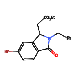 CCOC(=O)CC1c2cc(Br)ccc2C(=O)N1CC(C)C